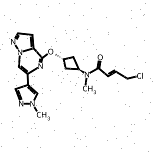 Cn1cc(-c2cn3nccc3c(O[C@H]3C[C@H](N(C)C(=O)/C=C/CCl)C3)n2)cn1